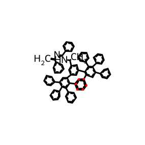 C=C(/N=C(\NC(C)c1cc(-c2cc(-c3ccccc3)c(-c3ccccc3)c(-c3ccccc3)c2-c2ccccc2)cc(-c2c(-c3ccccc3)cc(-c3ccccc3)c(-c3ccccc3)c2-c2ccccc2)c1)c1ccccc1)c1ccccc1